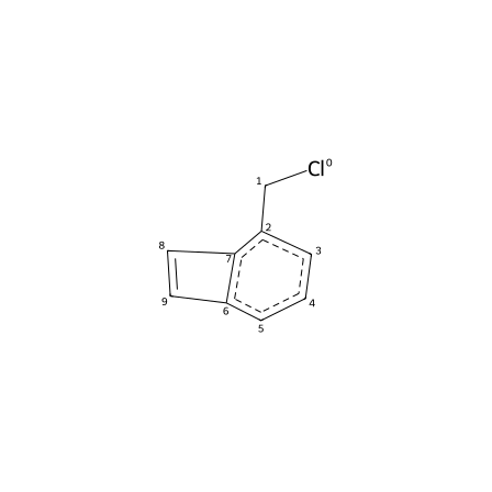 ClCc1cccc2c1C=C2